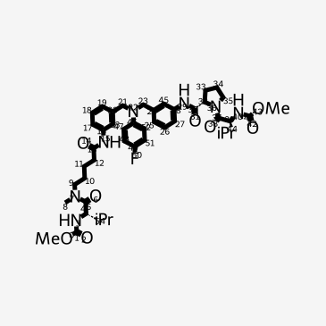 COC(=O)N[C@H](C(=O)N(C)CCCCC(=O)Nc1cccc(CN(Cc2cccc(NC(=O)[C@@H]3CCCN3C(=O)[C@@H](NC(=O)OC)C(C)C)c2)c2ccc(F)cc2)c1)C(C)C